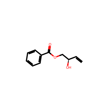 C=C[C@@H](O)COC(=O)c1ccccc1